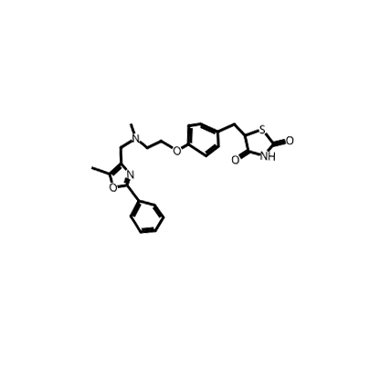 Cc1oc(-c2ccccc2)nc1CN(C)CCOc1ccc(CC2SC(=O)NC2=O)cc1